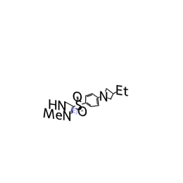 CCC1CN(c2ccc(S(=O)(=O)/C(C=N)=C/NC)cc2)C1